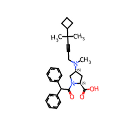 CN(CC#CC(C)(C)C1CCC1)[C@H]1C[C@@H](C(=O)O)N(C(=O)C(c2ccccc2)c2ccccc2)C1